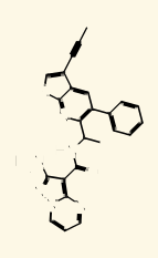 CC#Cc1csc2nc(C(C)NC(=O)c3c(N)nn4cccnc34)c(-c3ccccc3)cc12